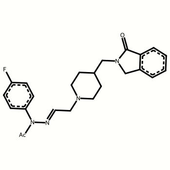 CC(=O)N(/N=C/CN1CCC(CN2Cc3ccccc3C2=O)CC1)c1ccc(F)cc1